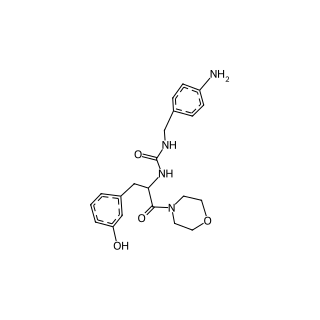 Nc1ccc(CNC(=O)NC(Cc2cccc(O)c2)C(=O)N2CCOCC2)cc1